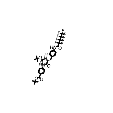 CC(C)(C)OC(=O)N[C@@H](Cc1ccc(NC(=O)C(F)(F)C(F)(F)C(F)(F)C(F)(F)F)cc1)C(=O)Nc1ccc(C(=O)OC(C)(C)C)cc1